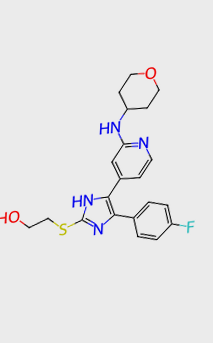 OCCSc1nc(-c2ccc(F)cc2)c(-c2ccnc(NC3CCOCC3)c2)[nH]1